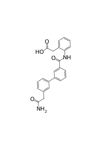 NC(=O)Cc1cccc(-c2cccc(C(=O)Nc3ccccc3CC(=O)O)c2)c1